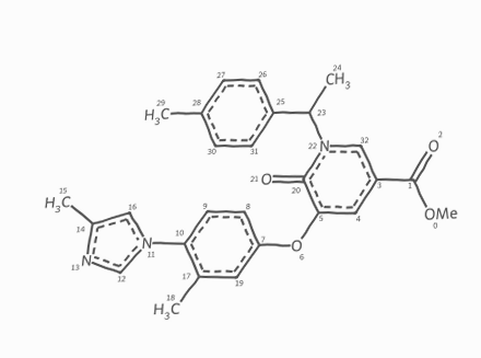 COC(=O)c1cc(Oc2ccc(-n3cnc(C)c3)c(C)c2)c(=O)n(C(C)c2ccc(C)cc2)c1